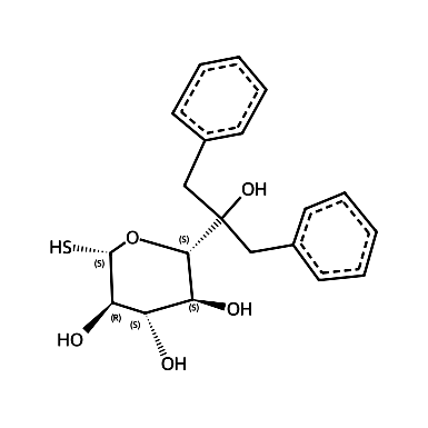 O[C@@H]1[C@@H](O)[C@H](S)O[C@H](C(O)(Cc2ccccc2)Cc2ccccc2)[C@H]1O